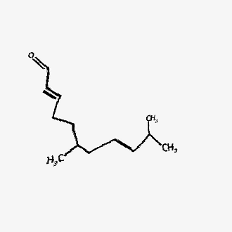 CC(C)CCCC(C)CCC=CC=O